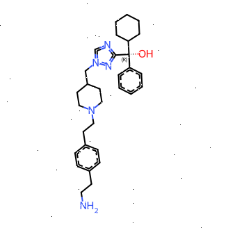 NCCc1ccc(CCN2CCC(Cn3cnc([C@](O)(c4ccccc4)C4CCCCC4)n3)CC2)cc1